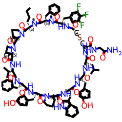 CCCC[C@H]1C(=O)N2CCC[C@@H]2C(=O)N2CC[C@H]2C(=O)N[C@@H](C(C)C)C(=O)N(C)[C@@H](Cc2ccccc2)C(=O)N[C@@H](Cc2ccc(O)cc2)C(=O)N2CCCC[C@@H]2C(=O)N[C@@H](Cc2c[nH]c3ccccc23)C(=O)N[C@@H](Cc2ccc(O)cc2)C(=O)N[C@@H](CC(C)C)C(=O)N[C@H](C(=O)NCC(N)=O)CSCC(=O)N[C@@H](Cc2cc(F)c(F)c(F)c2)C(=O)N(C)[C@@H](Cc2ccccc2)C(=O)N1C